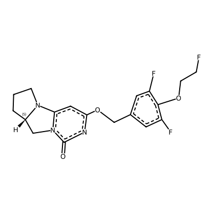 O=c1nc(OCc2cc(F)c(OCCF)c(F)c2)cc2n1C[C@@H]1CCCN21